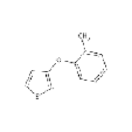 Cc1ccccc1Oc1[c]scc1